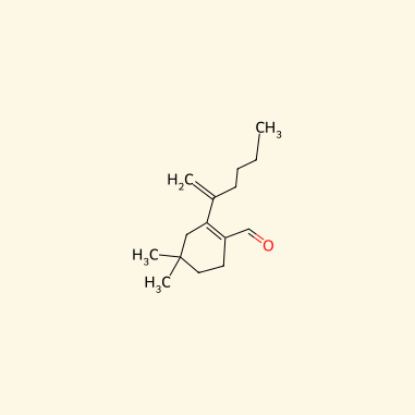 C=C(CCCC)C1=C(C=O)CCC(C)(C)C1